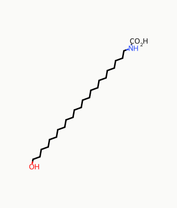 O=C(O)NCCCCCCCCCCCCCCCCCCCCCCCO